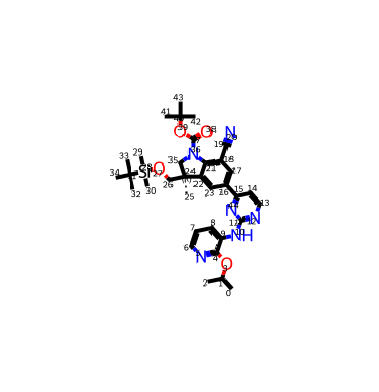 CC(C)Oc1ncccc1Nc1nccc(-c2cc(C#N)c3c(c2)[C@@](C)(CO[Si](C)(C)C(C)(C)C)CN3C(=O)OC(C)(C)C)n1